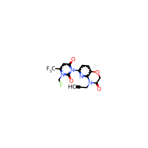 C#CCN1C(=O)COc2ccc(-n3c(=O)cc(C(F)(F)F)n(CF)c3=O)nc21